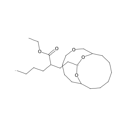 [CH2]CCCC(CC[C]1OC2CCCCCCC(COCCCC2)O1)C(=O)OCC